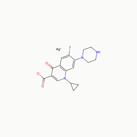 O=C([O-])c1cn(C2CC2)c2cc(N3CCNCC3)c(F)cc2c1=O.[Ag+]